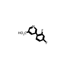 O=C(O)c1cncc(-c2ccc(F)cc2F)c1